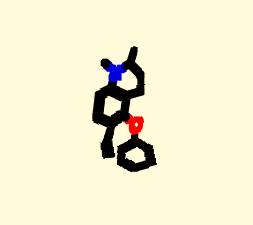 C#Cc1ccc2c(c1Oc1ccccc1)CCC(C)N2C